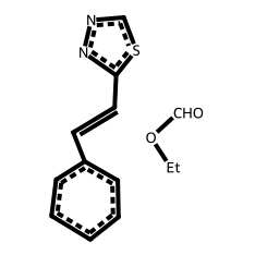 C(=Cc1nncs1)c1ccccc1.CCOC=O